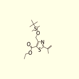 C=C(C)c1nc(CO[Si](C)(C)C(C)(C)C)c(C(=O)OCC)s1